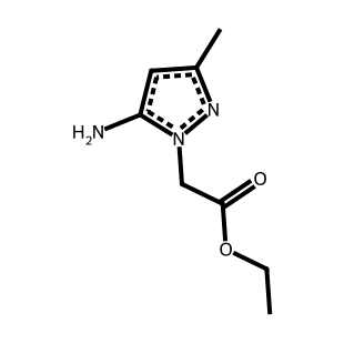 CCOC(=O)Cn1nc(C)cc1N